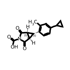 Cc1cc(C2CC2)ccc1[C@H]1[C@@H]2C(=O)N(C(=O)O)C(=O)[C@@H]21